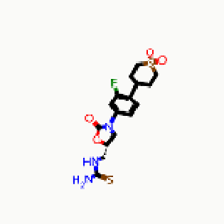 NC(=S)NC[C@H]1CN(c2ccc(C3CCS(=O)(=O)CC3)c(F)c2)C(=O)O1